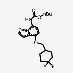 CCCCOC(=O)Nc1ccc(OCC2CCC(F)(F)CC2)c2ccnn12